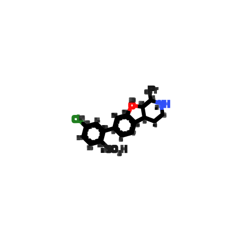 CC(C)C1NCCC2c3ccc(-c4cc(Cl)ccc4S(=O)(=O)O)cc3OC21